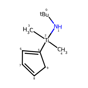 CC(C)(C)[NH][Ti]([CH3])([CH3])[C]1=CC=CC1